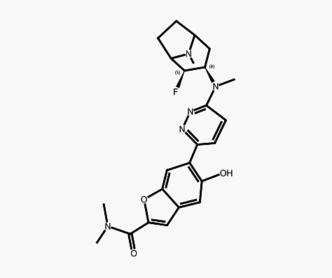 CN(C)C(=O)c1cc2cc(O)c(-c3ccc(N(C)[C@@H]4CC5CCC([C@@H]4F)N5C)nn3)cc2o1